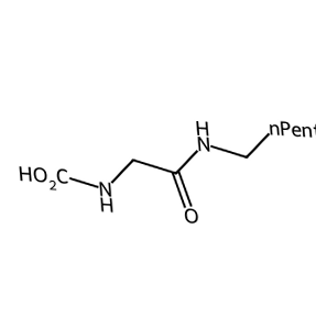 CCCCCCNC(=O)CNC(=O)O